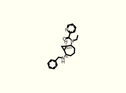 CCN(C(=O)c1ccccn1)[C@H]1CCC[C@@H](NCc2ccccc2)C2C[C@H]21